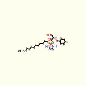 CCCCCCCCCCCCCCCCCCCCOC(OP1(=O)NCCN1)C(CO)OCc1ccccc1